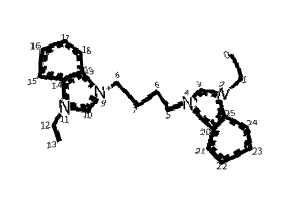 CCn1c[n+](CCCC[n+]2cn(CC)c3ccccc32)c2ccccc21